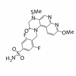 COc1ccc2c3c(cnc2n1)N(SC)CC(=O)N3Cc1c(F)cc(S(N)(=O)=O)cc1F